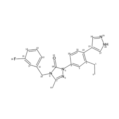 CCc1cc(-n2nc(C)n(Cc3cccc(F)c3)c2=O)ccc1-c1cn[nH]c1